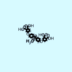 O.O.O=C(O)c1ccc(Oc2ccc(S(=O)(=O)c3ccc(Oc4ccc(C(=O)O)c(C(=O)O)c4)cc3)cc2)cc1C(=O)O